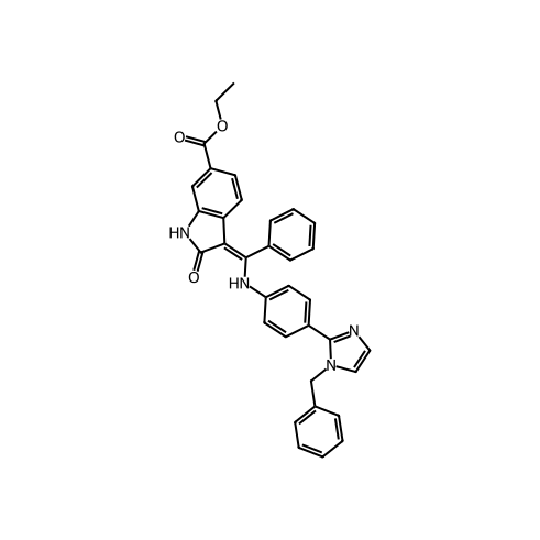 CCOC(=O)c1ccc2c(c1)NC(=O)/C2=C(\Nc1ccc(-c2nccn2Cc2ccccc2)cc1)c1ccccc1